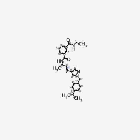 CCNC(=O)c1cc(C(=O)N[C@@H](C)/C=C/c2cnn(Cc3ccc(C(C)C)cc3)c2)ccn1